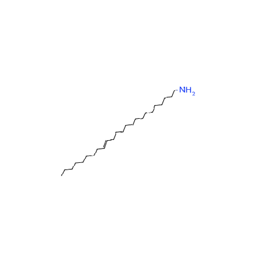 CCCCCCCCC=CCCCCCCCCCCCCCCN